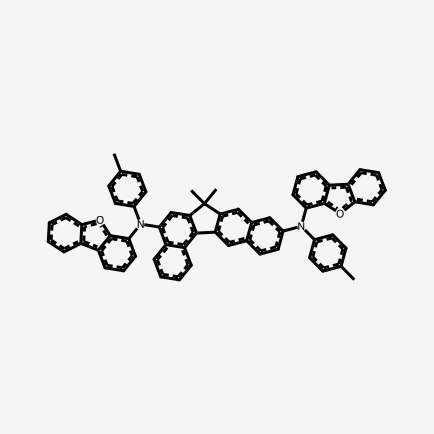 Cc1ccc(N(c2ccc3cc4c(cc3c2)C(C)(C)c2cc(N(c3ccc(C)cc3)c3cccc5c3oc3ccccc35)c3ccccc3c2-4)c2cccc3c2oc2ccccc23)cc1